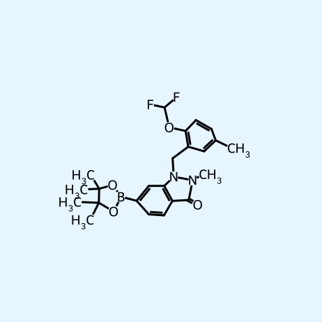 Cc1ccc(OC(F)F)c(Cn2c3cc(B4OC(C)(C)C(C)(C)O4)ccc3c(=O)n2C)c1